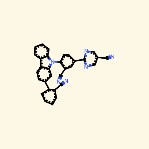 N#Cc1cnc(-c2ccc(-n3c4ccccc4c4ccc(-c5ccccc5C#N)cc43)c(C#N)c2)nc1